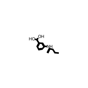 C=C(CCC)Nc1cccc(C(O)O)c1